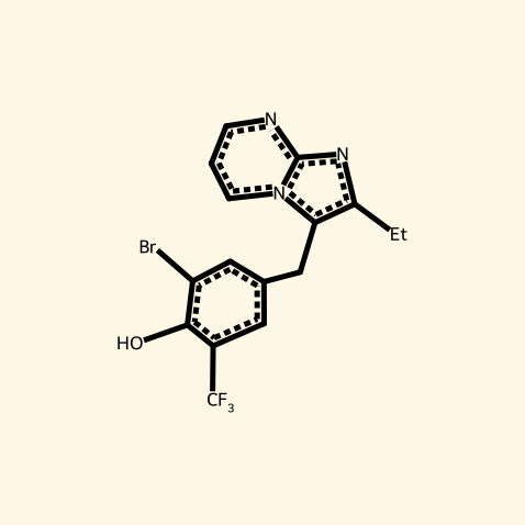 CCc1nc2ncccn2c1Cc1cc(Br)c(O)c(C(F)(F)F)c1